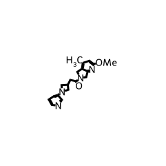 COc1cc(C)c2c(n1)CN(C(=O)CC1CN(c3cccnc3)C1)C2